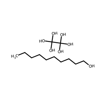 CCCCCCCCCCO.OC(O)(O)C(O)(O)O